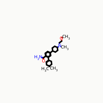 COCCN(C)C1CCC(c2ccc(C(N)=O)c(C3=CCC(C)(C)CC3)c2)CC1